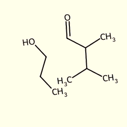 CC(C)C(C)C=O.CCCO